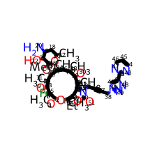 CC[C@H]1OC(=O)[C@@](C)(F)C(=O)[C@H](C)[C@@H](O[C@@H]2O[C@H](C)CC(N)C2O)[C@](C)(OC)C[C@@H](C)C(=O)[C@H](C)[C@H]2N(CC#CCn3cc(-c4ncccn4)nn3)C(=O)O[C@]12C